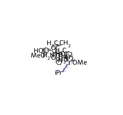 C=C[C@@H](C)C(=O)C[C@H](OC(=O)[C@@H]1CCCCN1C(=O)C(=O)[C@]1(O)O[C@H](C[C@H](OC)/C(C)=C/C=C/C=C/C(C)C)CC[C@H]1C)[C@H](N)C[C@@H]1CC[C@@H](O)[C@H](OC)C1